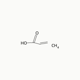 C.C=CC(=O)O